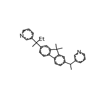 CCC(C)(c1cccnc1)c1ccc2c(c1)C(C)(C)c1cc(C(C)c3cccnc3)ccc1-2